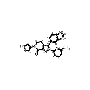 Cc1cccc(-n2nc3c(c2-c2ccc4ncsc4c2)CCN(c2cn[nH]c2)C3=O)n1